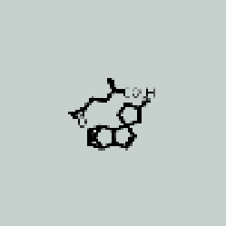 C=C(CCC1CO1)C(=O)O.CC1CCC2(C=CC3C4C=CC(C4)C32)C1